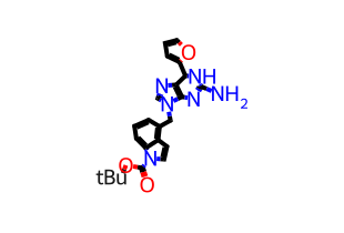 CC(C)(C)OC(=O)n1ccc2c(Cn3cnc4c3N=C(N)NC4c3ccco3)cccc21